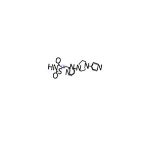 O=C1NC(=O)/C(=C/c2nccc(N3CCCN(c4ccncc4)CC3)n2)S1